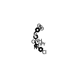 CCCc1c(C(=O)NC2CCN(Cc3ccc(S(C)(=O)=O)cc3)CC2)cnn1-c1ccc(Cl)cc1